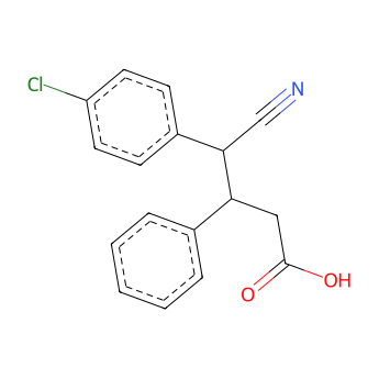 N#CC(c1ccc(Cl)cc1)C(CC(=O)O)c1ccccc1